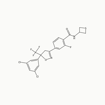 O=C(NC1CSC1)c1ccc(C2=NOC(c3cc(Cl)cc(Cl)c3)(C(F)(F)F)C2)cc1F